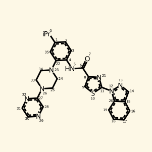 CC(C)c1ccc(NC(=O)c2csc(-n3ncc4ccccc43)n2)c(N2CCN(c3cnccn3)CC2)c1